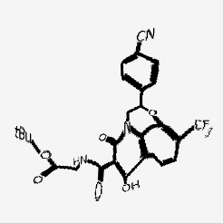 CC(C)(C)OC(=O)CNC(=O)c1c(O)c2ccc(C(F)(F)F)c3c2n(c1=O)CC(c1ccc(C#N)cc1)O3